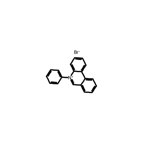 [Br-].c1ccc(-[n+]2cc3ccccc3c3ccccc32)cc1